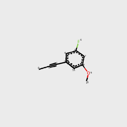 CC#Cc1cc(F)[c]c(OC)c1